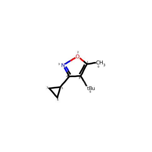 Cc1onc(C2CC2)c1C(C)(C)C